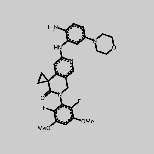 COc1cc(OC)c(F)c(N2Cc3cnc(Nc4cc(N5CCOCC5)ccc4N)cc3C3(CC3)C2=O)c1F